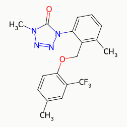 Cc1ccc(OCc2c(C)cccc2-n2nnn(C)c2=O)c(C(F)(F)F)c1